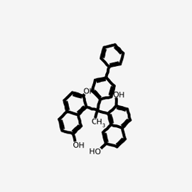 CC(c1ccc(-c2ccccc2)cc1)(c1c(O)ccc2ccc(O)cc12)c1c(O)ccc2ccc(O)cc12